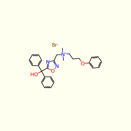 C[N+](C)(CCCOc1ccccc1)Cc1noc(C(O)(c2ccccc2)c2ccccc2)n1.[Br-]